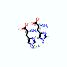 N[C@@H](Cc1c[nH]cn1)C(=O)[O-].N[C@@H](Cc1c[nH]cn1)C(=O)[O-].[Ca+2]